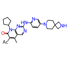 CC(=O)c1c(C)c2cnc(Nc3ccc(N4CCC5(CC4)CNC5)cn3)nc2n(C2CCCC2)c1=O